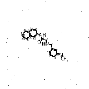 O=C(CNCc1cccc(OC(F)(F)F)c1)Nc1ccc2cnccc2c1